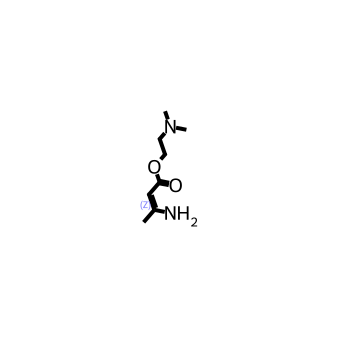 C/C(N)=C/C(=O)OCCN(C)C